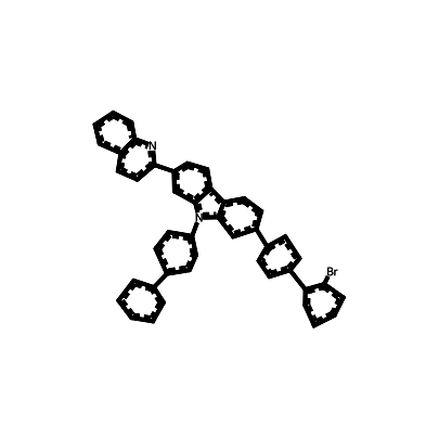 Brc1ccccc1-c1ccc(-c2ccc3c4ccc(-c5ccc6ccccc6n5)cc4n(-c4ccc(-c5ccccc5)cc4)c3c2)cc1